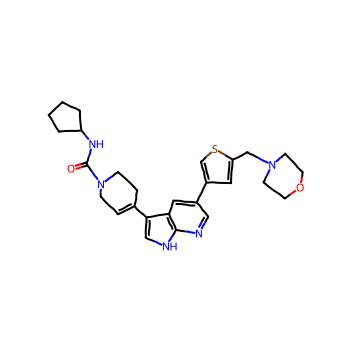 O=C(NC1CCCC1)N1CC=C(c2c[nH]c3ncc(-c4csc(CN5CCOCC5)c4)cc23)CC1